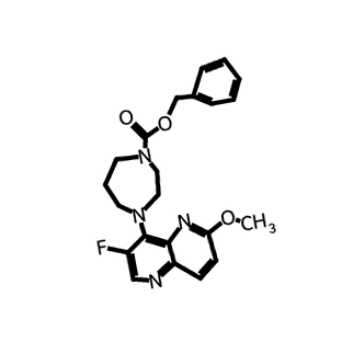 COc1ccc2ncc(F)c(N3CCCN(C(=O)OCc4ccccc4)CC3)c2n1